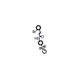 O=C(/C=C/c1ccccc1Br)Nc1ccc(S(=O)(=O)N2CCCC2)cc1